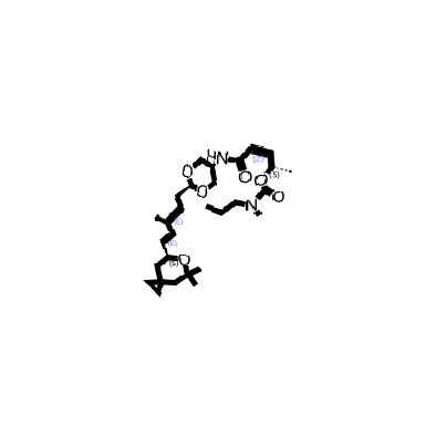 CCCN(C)C(=O)O[C@@H](C)/C=C\C(=O)N[C@H]1CO[C@@H](C/C=C(C)/C=C/[C@@H]2CC3(CC3)CC(C)(C)O2)OC1